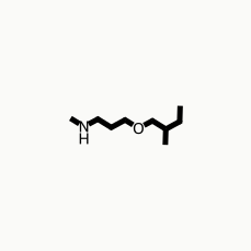 CCC(C)COCCCNC